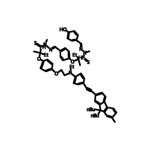 CCCCC1(CCCC)c2cc(C)ccc2-c2ccc(C#Cc3ccc(N(CC)CCOc4ccc(OC(C)(CC)[PH](=S)N(C)N=Cc5ccc(OC(C)(CC)[PH](=S)N(C)N=Cc6ccc(O)cc6)cc5)cc4)cc3)cc21